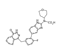 O=C(O)N(c1nc2cc(-c3cc(Cc4n[nH]c(=O)c5ccccc45)ccc3F)ccc2[nH]1)C1CCOCC1